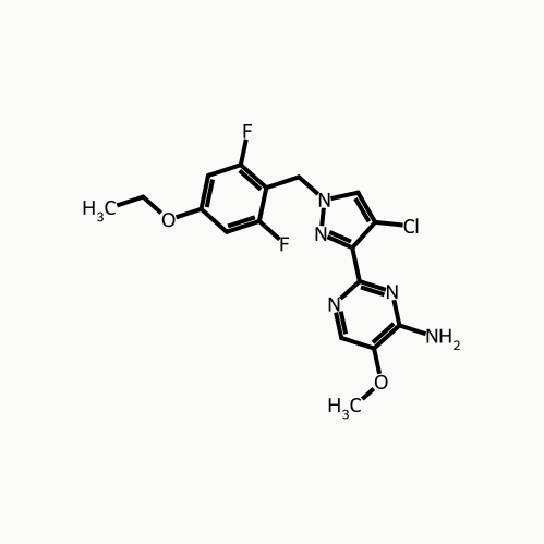 CCOc1cc(F)c(Cn2cc(Cl)c(-c3ncc(OC)c(N)n3)n2)c(F)c1